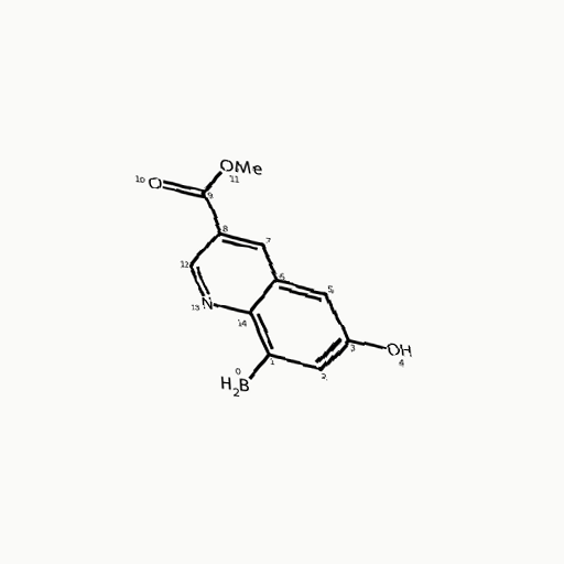 Bc1cc(O)cc2cc(C(=O)OC)cnc12